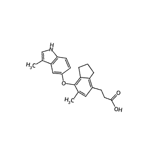 Cc1cc(CCC(=O)O)c2c(c1Oc1ccc3[nH]cc(C)c3c1)CCC2